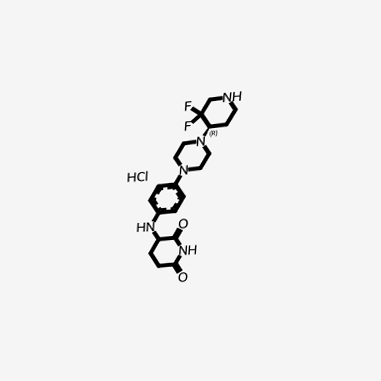 Cl.O=C1CCC(Nc2ccc(N3CCN([C@@H]4CCNCC4(F)F)CC3)cc2)C(=O)N1